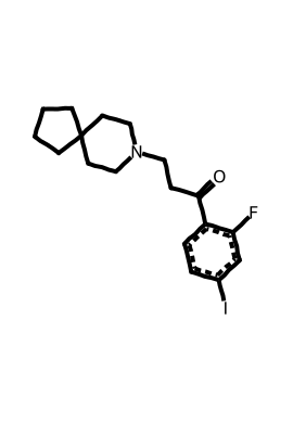 O=C(CCN1CCC2(CCCC2)CC1)c1ccc(I)cc1F